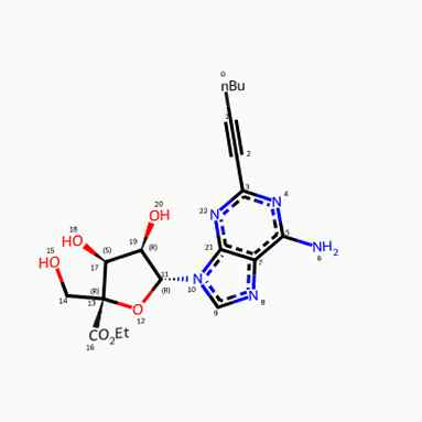 CCCCC#Cc1nc(N)c2ncn([C@@H]3O[C@@](CO)(C(=O)OCC)[C@@H](O)[C@H]3O)c2n1